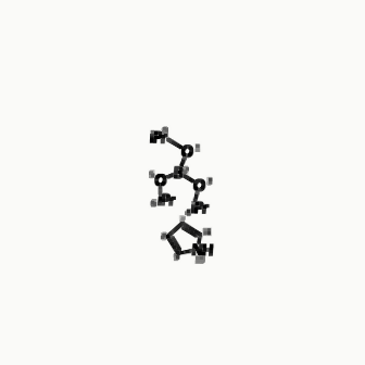 CC(C)OB(OC(C)C)OC(C)C.c1cc[nH]c1